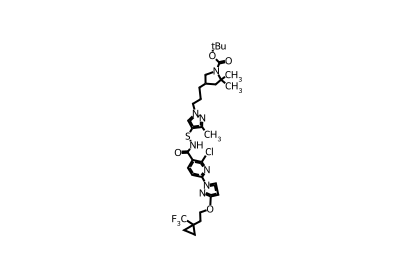 Cc1nn(CCCC2CN(C(=O)OC(C)(C)C)C(C)(C)C2)cc1SNC(=O)c1ccc(-n2ccc(OCCC3(C(F)(F)F)CC3)n2)nc1Cl